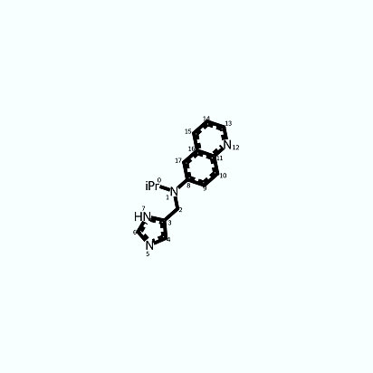 CC(C)N(Cc1cnc[nH]1)c1ccc2ncccc2c1